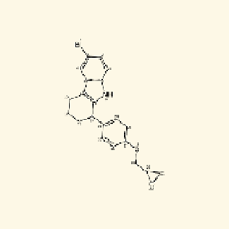 Brc1ccc2[nH]c3c(c2c1)CCCC3c1ccc(OCC2CO2)cc1